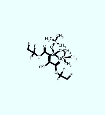 CCC/C(C(=O)OC(F)(F)CF)=C(\C(=O)OC(F)(F)CF)[Si](C)(O[Si](C)(C)C)O[Si](C)(C)C